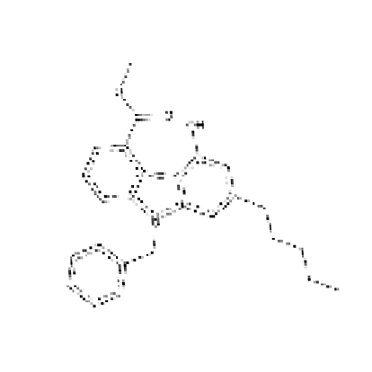 CCCCCc1cc(O)c2c3c(C(=O)OC)cccc3n(Cc3ccccc3)c2c1